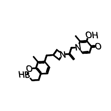 C=C(Cn1ccc(=O)c(O)c1C)N1CC(Cc2ccc3c(c2C)OBCC3)C1